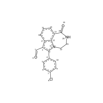 O=Cc1c(-c2ccc(Cl)cc2)n2c3c(cccc13)C(=O)NCC2